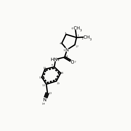 CC1(C)C[CH]N(C(=O)Nc2ccc(C#N)cc2)C1